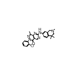 Cc1nn(-c2ccccc2Cl)c(=O)c2cnc(Nc3ccc4c(c3)CN(C)CC4(C)C)nc12